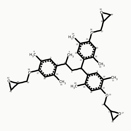 Cc1cc(C(C)CC(c2cc(C)c(OCC3CO3)cc2C)c2cc(C)c(OCC3CO3)cc2C)c(C)cc1OCC1CO1